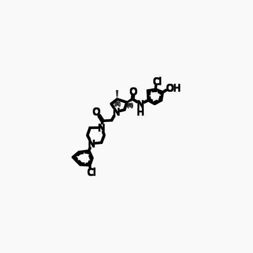 C[C@H]1CN(CC(=O)N2CCN(c3cccc(Cl)c3)CC2)C[C@@H]1C(=O)Nc1ccc(O)c(Cl)c1